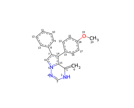 C=C1NC=Nn2cc(-c3ccccc3)c(-c3ccc(OC)cc3)c21